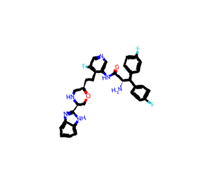 N[C@H](C(=O)Nc1cncc(F)c1CC[C@@H]1CN[C@H](c2nc3ccccc3[nH]2)CO1)C(c1ccc(F)cc1)c1ccc(F)cc1